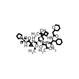 C=C[C@@H]1C[C@]1(NC(=O)[C@@H]1C[C@@]2(CN1C(=O)[C@@H](NC(=O)[C@@H](NC(=O)CC1CCCCO1)C1CCCCC1)C(=C)C)C(C)(C)C21CCC1)C(=O)NS(=O)(=O)N1CCCC1